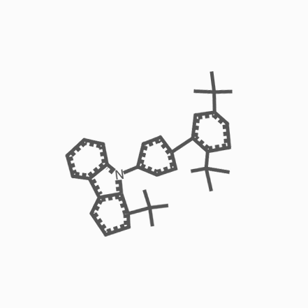 CC(C)(C)c1ccc(C(C)(C)C)c(-c2ccc(-n3c4ccccc4c4cccc(C(C)(C)C)c43)cc2)c1